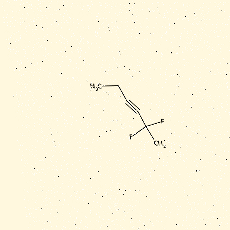 CCC#CC(C)(F)F